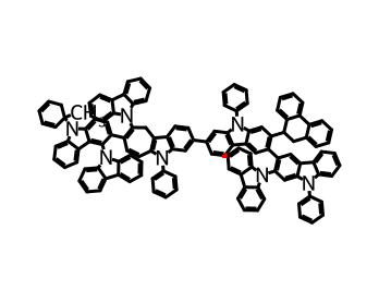 CC1(n2c3ccccc3c3c(-n4c5ccccc5c5ccccc54)c(C4=C(n5c6ccccc6c6ccccc65)Cc5c(n(-c6ccccc6)c6cc(-c7ccc8c9cc(-c%10cc%11c%12ccccc%12n(-c%12ccccc%12)c%11cc%10-n%10c%11ccccc%11c%11ccccc%11%10)c(C%10Cc%11ccccc%11-c%11ccccc%11%10)cc9n(-c9ccccc9)c8c7)ccc56)C=C4)ccc32)C=CC=CC1